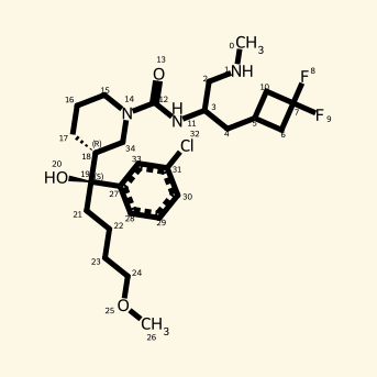 CNCC(CC1CC(F)(F)C1)NC(=O)N1CCC[C@@H]([C@@](O)(CCCCOC)c2cccc(Cl)c2)C1